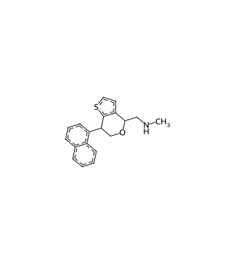 CNCC1OCC(c2cccc3ccccc23)c2sccc21